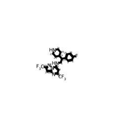 Fc1ccc(C(CNc2cc(C(F)(F)F)nc3cc(C(F)(F)F)nn23)C2CCNCC2)cc1